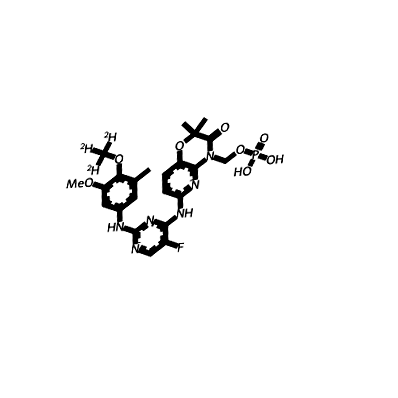 [2H]C([2H])([2H])Oc1c(C)cc(Nc2ncc(F)c(Nc3ccc4c(n3)N(COP(=O)(O)O)C(=O)C(C)(C)O4)n2)cc1OC